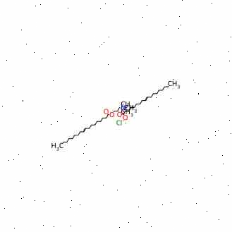 CCCCCCCCC=CCCCCCCCC(=O)OCC(C[N+](C)(C)C)OC(=O)CCCCCCCC=CCCCCCCCC.[Cl-]